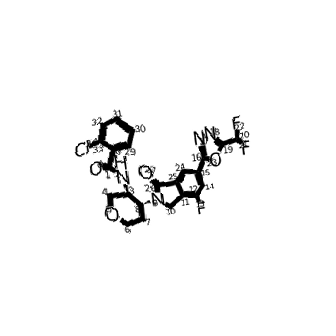 O=C(N[C@@H]1COCC[C@H]1N1Cc2c(F)cc(-c3nnc(C(F)F)o3)cc2C1=O)c1ccccc1Cl